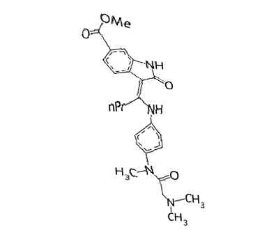 CCC/C(Nc1ccc(N(C)C(=O)CN(C)C)cc1)=C1/C(=O)Nc2cc(C(=O)OC)ccc21